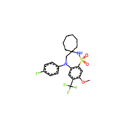 COc1cc2c(cc1C(F)(F)F)N(c1ccc(F)cc1)CC1(CCCCCC1)NS2(=O)=O